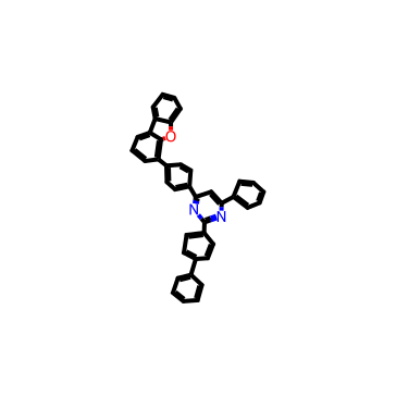 c1ccc(-c2ccc(-c3nc(-c4ccccc4)cc(-c4ccc(-c5cccc6c5oc5ccccc56)cc4)n3)cc2)cc1